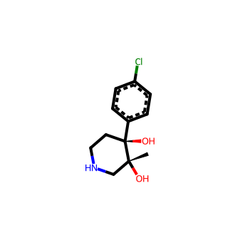 C[C@@]1(O)CNCC[C@]1(O)c1ccc(Cl)cc1